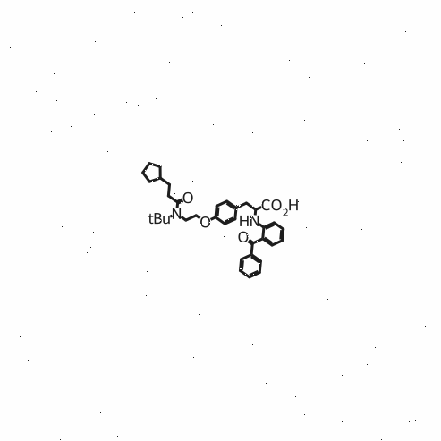 CC(C)(C)N(CCOc1ccc(CC(Nc2ccccc2C(=O)c2ccccc2)C(=O)O)cc1)C(=O)CCC1CCCC1